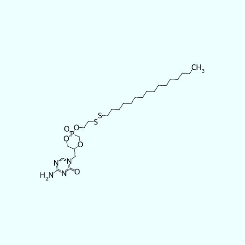 CCCCCCCCCCCCCCCCSSCCOP1(=O)COC(Cn2cnc(N)nc2=O)CO1